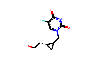 O=c1[nH]c(=O)n(CC2C[C@@H]2CCO)cc1F